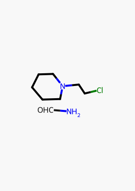 ClCCN1CCCCC1.NC=O